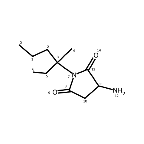 CCCC(C)(CC)N1C(=O)CC(N)C1=O